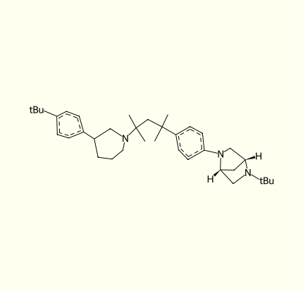 CC(C)(C)c1ccc(C2CCCN(C(C)(C)CC(C)(C)c3ccc(N4C[C@H]5C[C@@H]4CN5C(C)(C)C)cc3)C2)cc1